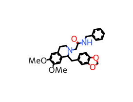 COc1cc2c(cc1OC)C(Cc1ccc3c(c1)OCO3)N(CC(=O)NCc1ccccc1)CC2